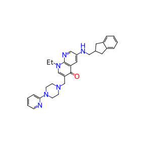 CCn1cc(CN2CCN(c3ccccn3)CC2)c(=O)c2cc(NCC3Cc4ccccc4C3)cnc21